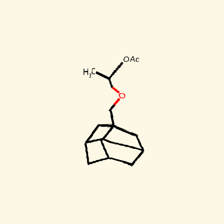 CC(=O)OC(C)OCC12CC3CC(CC(C3)C1)C2